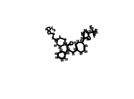 COCCN1CCN(C(=O)N(CC2=CCC(c3nnc(C(F)(F)F)o3)C=CC2)c2ccccc2)CC1